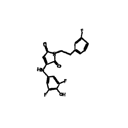 O=C1C=C(Nc2cc(F)c(O)c(F)c2)C(=O)N1CCc1cccc(F)c1